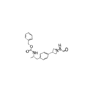 CC(Cc1ccc(C2CN(BC=O)C2)cc1)NC(=O)OCc1ccccc1